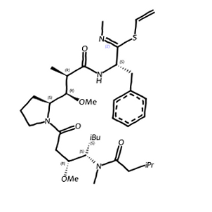 C=CS/C(=N\C)[C@H](Cc1ccccc1)NC(=O)[C@H](C)[C@@H](OC)[C@@H]1CCCN1C(=O)C[C@@H](OC)[C@H]([C@@H](C)CC)N(C)C(=O)CC(C)C